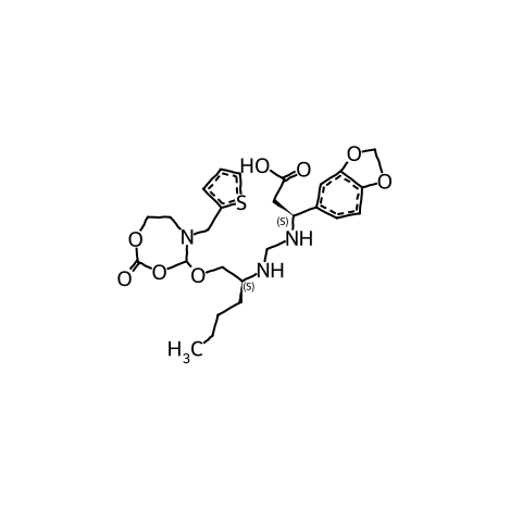 CCCC[C@@H](COC1OC(=O)OCCN1Cc1cccs1)NCN[C@@H](CC(=O)O)c1ccc2c(c1)OCO2